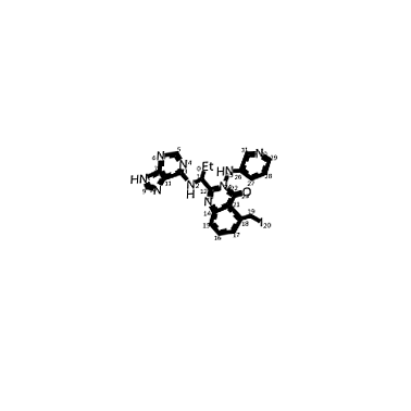 CCC(Nc1ncnc2[nH]cnc12)c1nc2cccc(CI)c2c(=O)n1Nc1cccnc1